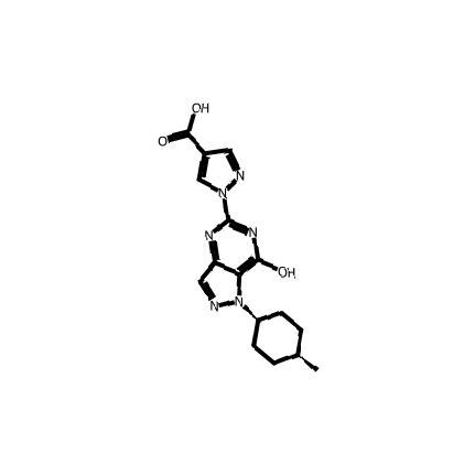 C[C@H]1CC[C@@H](n2ncc3nc(-n4cc(C(=O)O)cn4)nc(O)c32)CC1